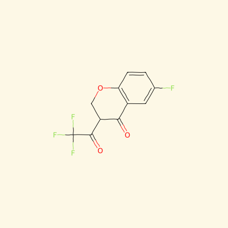 O=C1c2cc(F)ccc2OCC1C(=O)C(F)(F)F